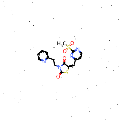 CS(=O)(=O)c1nccc(C=C2SC(=O)N(CCc3ccccn3)C2=O)n1